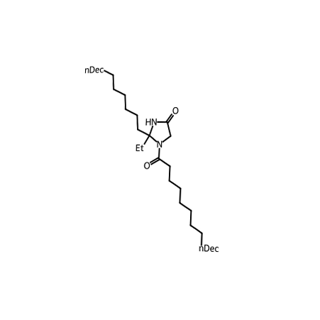 CCCCCCCCCCCCCCCCCC(=O)N1CC(=O)NC1(CC)CCCCCCCCCCCCCCCC